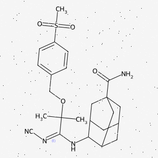 CC(C)(OCc1ccc(S(C)(=O)=O)cc1)/C(=N\C#N)NC1C2CC3CC1CC(C(N)=O)(C3)C2